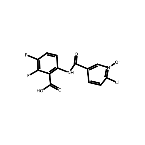 O=C(Nc1ccc(F)c(F)c1C(=O)O)c1ccc(Cl)[n+]([O-])c1